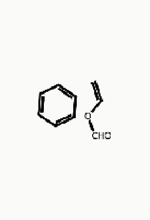 C=COC=O.c1ccccc1